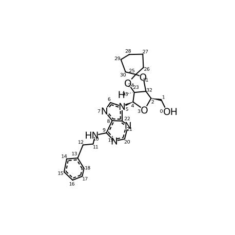 OC[C@H]1O[C@@H](n2cnc3c(NCCc4ccccc4)ncnc32)[C@H]2OC3(CCCCC3)OC12